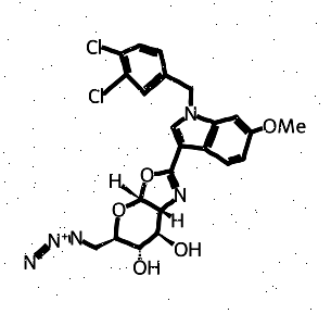 COc1ccc2c(C3=N[C@H]4[C@@H](O3)O[C@H](CN=[N+]=[N-])[C@@H](O)[C@@H]4O)cn(Cc3ccc(Cl)c(Cl)c3)c2c1